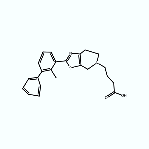 Cc1c(-c2ccccc2)cccc1-c1nc2c(s1)CN(CCCC(=O)O)CC2